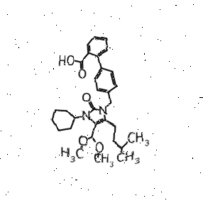 COC(OC)c1c(CCC(C)C)n(Cc2ccc(-c3ccccc3C(=O)O)cc2)c(=O)n1C1CCCCC1